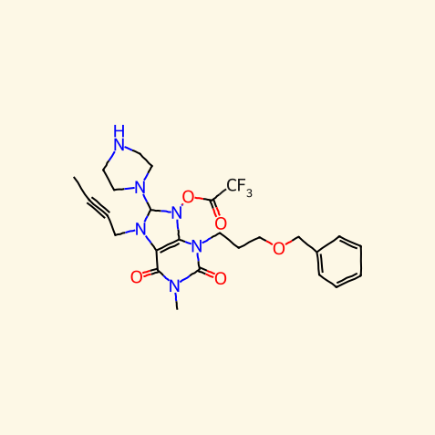 CC#CCN1c2c(n(CCCOCc3ccccc3)c(=O)n(C)c2=O)N(OC(=O)C(F)(F)F)C1N1CCNCC1